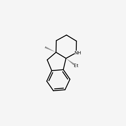 CC[C@@]12NCCC[C@]1(C)Cc1ccccc12